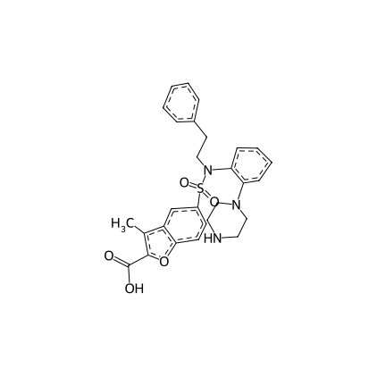 Cc1c(C(=O)O)oc2ccc(S(=O)(=O)N(CCc3ccccc3)c3ccccc3N3CCNCC3)cc12